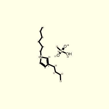 CCCCCCn1ccc(CCCC)c1.CS(=O)(=O)O